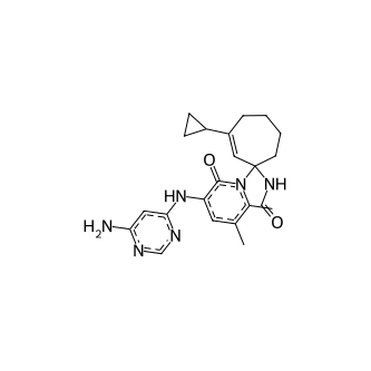 Cc1cc(Nc2cc(N)ncn2)c(=O)n(C2(NC=O)C=C(C3CC3)CCCC2)c1C